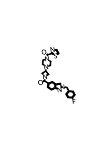 O=C(c1ccc2nn(Cc3ccc(F)cc3)cc2c1)N1CC(N2CCN(C(=O)c3nccs3)CC2)C1